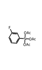 CC(=O)O[Si](OC(C)=O)(OC(C)=O)c1cccc(F)c1